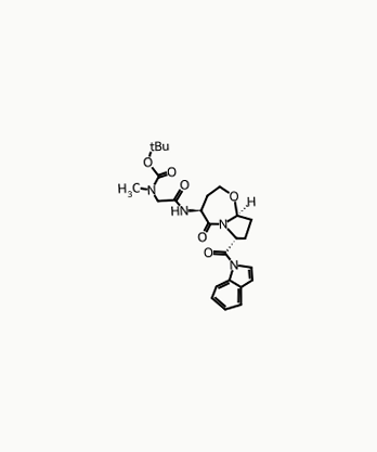 CN(CC(=O)N[C@H]1CCO[C@H]2CC[C@H](C(=O)n3ccc4ccccc43)N2C1=O)C(=O)OC(C)(C)C